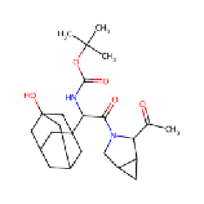 CC(=O)C1C2CC2CN1C(=O)C(NC(=O)OC(C)(C)C)C12CC3CC(CC(O)(C3)C1)C2